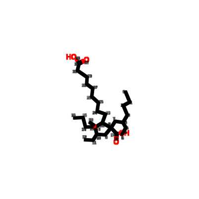 CCCCC(CC)CC(CC(CC)CCCC)(C(=O)O)C(CC)CCCCCCCCC(=O)O